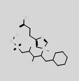 CCCCNS(=O)(=O)CC(O)C(O)C(CC1CCCCC1)[N@@+]1(CC)C=NC(CCC(N)=O)=C1